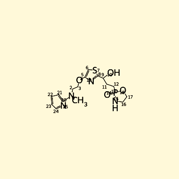 CN(CCOc1csc(C(O)CCP2(=O)NCCO2)n1)c1ccccn1